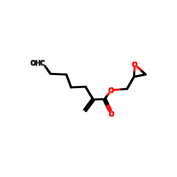 C=C(CCCCC=O)C(=O)OCC1CO1